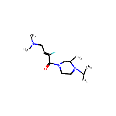 CC(C)N1CCN(C(=O)/C(F)=C/CN(C)C)CC1C